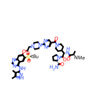 CN[C@@H](C)C(=O)N[C@H](C(=O)N1CCC[C@H]1C(N)=O)C1CCN(C(=O)c2cnc(N3CCN(CCOc4cc5ncnc(Nc6n[nH]c(C)c6C)c5cc4S(=O)(=O)C(C)(C)C)CC3)nc2)CC1